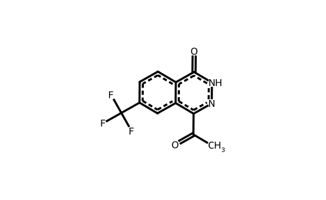 CC(=O)c1n[nH]c(=O)c2ccc(C(F)(F)F)cc12